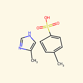 Cc1c[nH]cn1.Cc1ccc(S(=O)(=O)O)cc1